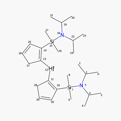 CC(C)N(C(C)C)[Si](C)(C)C1=[C]([Hf][C]2=C([Si](C)(C)N(C(C)C)C(C)C)C=CC2)CC=C1